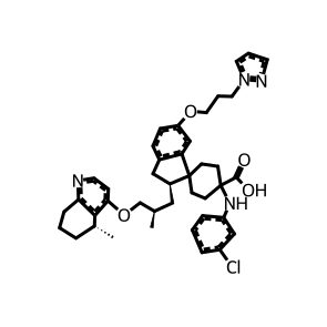 C[C@@H](COc1ccnc2c1[C@H](C)CCC2)C[C@H]1Cc2ccc(OCCCn3cccn3)cc2C12CCC(Nc1cccc(Cl)c1)(C(=O)O)CC2